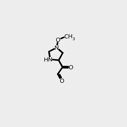 CON1CNC(C(=O)C=O)C1